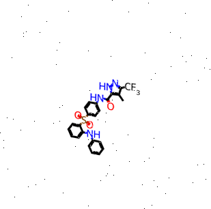 Cc1c(C(F)(F)F)n[nH]c1C(=O)Nc1ccc(S(=O)(=O)c2ccccc2Nc2ccccc2)cc1